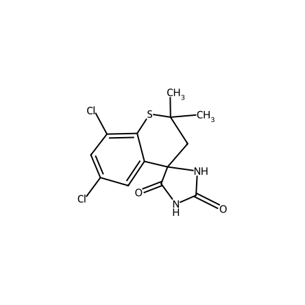 CC1(C)CC2(NC(=O)NC2=O)c2cc(Cl)cc(Cl)c2S1